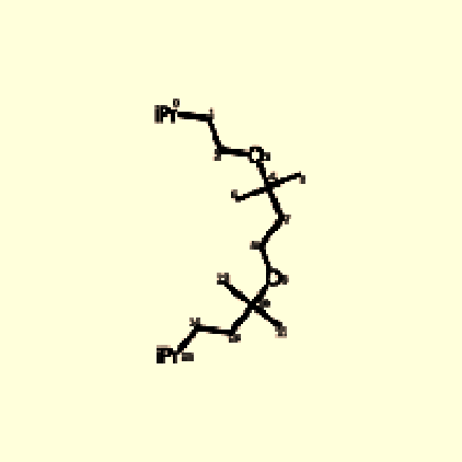 CC(C)CCOC(C)(C)CCOC(C)(C)CCC(C)C